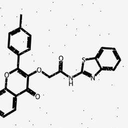 Cc1ccc(-c2oc3ccccc3c(=O)c2OCC(=O)Nc2nc3ccccc3s2)cc1